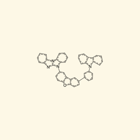 c1cc(-c2ccc3oc4ccc(-n5c6ccccc6n6c7ccccc7nc56)cc4c3c2)cc(-n2c3ccccc3c3ccccc32)c1